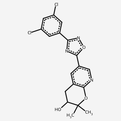 CC1(C)Oc2ncc(-c3nc(-c4cc(Cl)cc(Cl)c4)no3)cc2CC1O